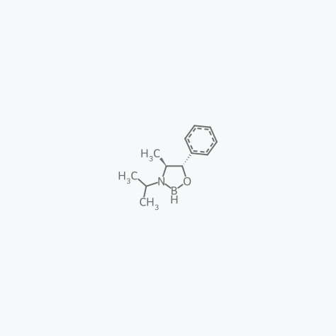 CC(C)N1BO[C@@H](c2ccccc2)[C@@H]1C